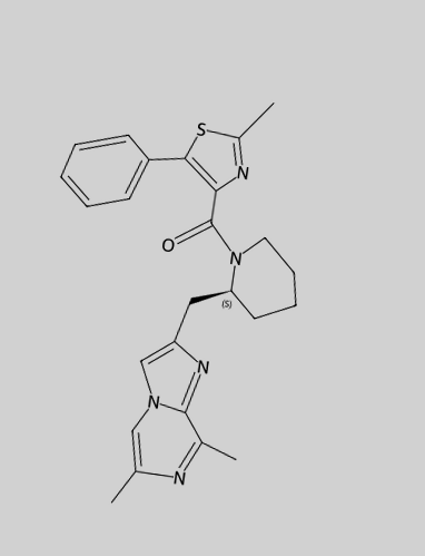 Cc1cn2cc(C[C@@H]3CCCCN3C(=O)c3nc(C)sc3-c3ccccc3)nc2c(C)n1